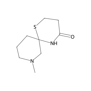 CN1CCCC2(C1)NC(=O)CCS2